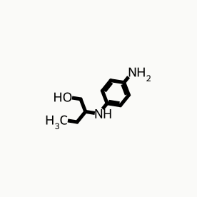 CCC(CO)Nc1ccc(N)cc1